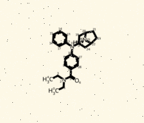 CCN(CC)C(=O)c1ccc(N(c2ccccc2)C2CC3CCC(C2)N3C)cc1